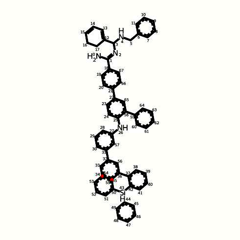 N/C(=N\C(NCc1ccccc1)C1=CC=CCC1)c1ccc(-c2ccc(Nc3cccc(-c4cccc(-c5ccccc5[SiH](c5ccccc5)c5ccccc5)c4)c3)c(-c3ccccc3)c2)cc1